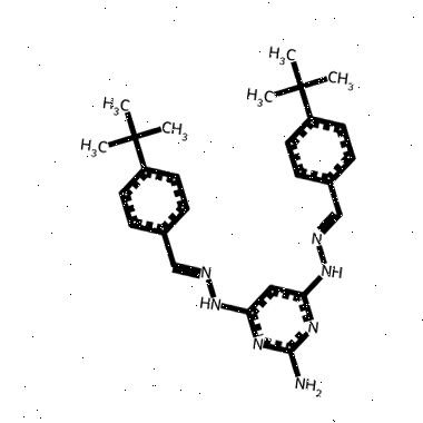 CC(C)(C)c1ccc(C=NNc2cc(NN=Cc3ccc(C(C)(C)C)cc3)nc(N)n2)cc1